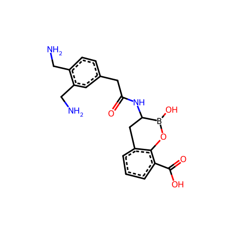 NCc1ccc(CC(=O)NC2Cc3cccc(C(=O)O)c3OB2O)cc1CN